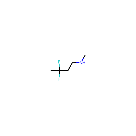 CNCCC(C)(F)F